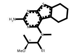 CCC([C@H](C)OC)N(C)c1nc(N)nc2sc3c(c12)CCCC3